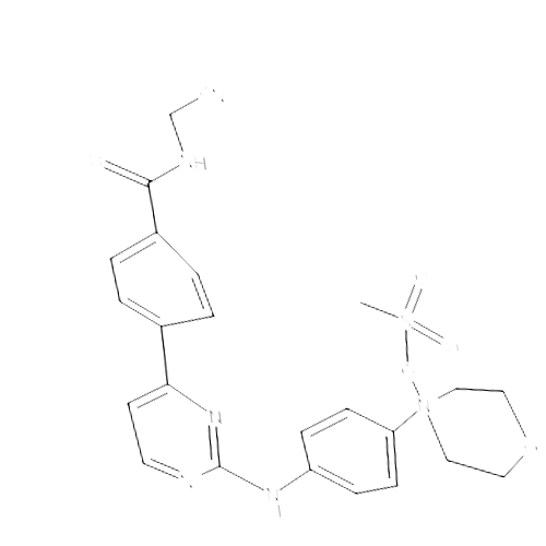 CS(=O)(=O)O[N+]1(c2ccc(NC3=NC(c4ccc(C(=O)NCC#N)cc4)=CC=[N+]3)cc2)CCOCC1